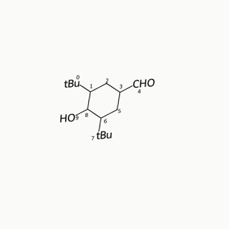 CC(C)(C)C1CC(C=O)CC(C(C)(C)C)C1O